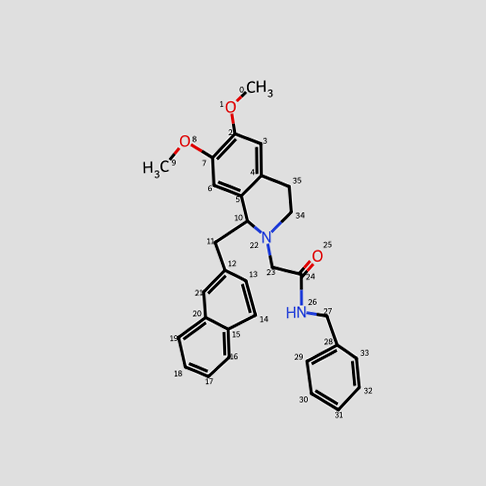 COc1cc2c(cc1OC)C(Cc1ccc3ccccc3c1)N(CC(=O)NCc1ccccc1)CC2